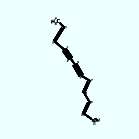 CC=CC#CC#CC=CC=CCCCC